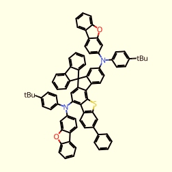 CC(C)(C)c1ccc(N(c2ccc3c(c2)C2(c4ccccc4-c4ccccc42)c2cc(N(c4ccc(C(C)(C)C)cc4)c4ccc5c(c4)oc4ccccc45)c4c(sc5cc(-c6ccccc6)ccc54)c2-3)c2ccc3c(c2)oc2ccccc23)cc1